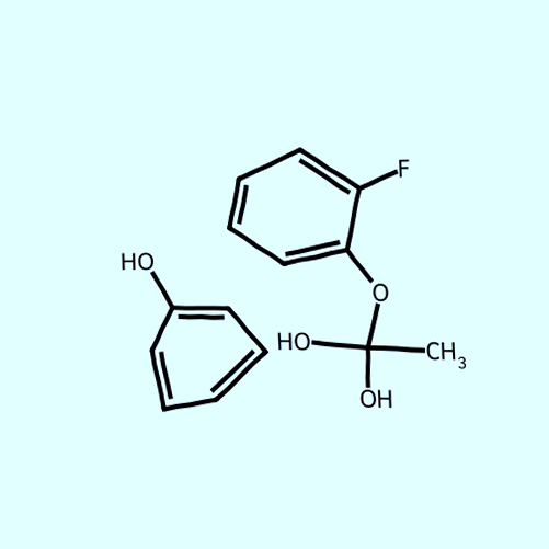 CC(O)(O)Oc1ccccc1F.Oc1ccccc1